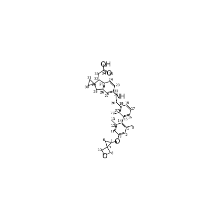 Cc1cc(OC2CC23COC3)cc(C)c1-c1cccc(CNc2ccc3c(c2)CC2(CC2)C3CC(=O)O)c1C